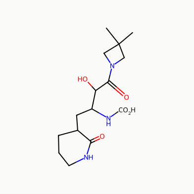 CC1(C)CN(C(=O)C(O)C(CC2CCCNC2=O)NC(=O)O)C1